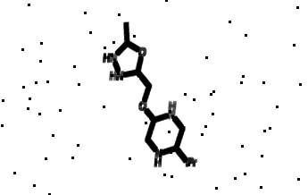 CC1NNC(COC2CNC(C(C)C)CN2)O1